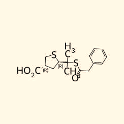 CC(C)(SC(=O)Cc1ccccc1)[C@H]1C[C@H](C(=O)O)CS1